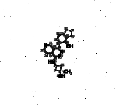 C[C@]1(O)C[C@@H](Nc2nnc(-c3ccc4c(c3O)CCC4)c3cnccc23)C1